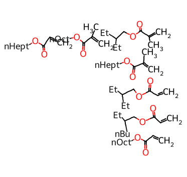 C=C(C)C(=O)OCC(CC)CC.C=C(C)C(=O)OCCCCCCC.C=C(C)C(=O)OCCCCCCCC.C=CC(=O)OCC(CC)CC.C=CC(=O)OCC(CC)CCCC.C=CC(=O)OCCCCCCC.C=CC(=O)OCCCCCCCC